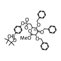 CO[C@H]1OC(CS(=O)(=O)Oc2ccc(B3OC(C)(C)C(C)(C)O3)cc2)[C@@H](OCc2ccccc2)[C@@H](OCc2ccccc2)C1OCc1ccccc1